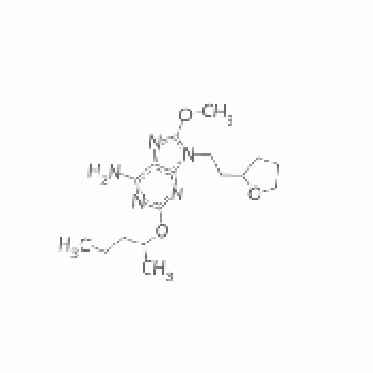 CCC[C@H](C)Oc1nc(N)c2nc(OC)n(CCC3CCCO3)c2n1